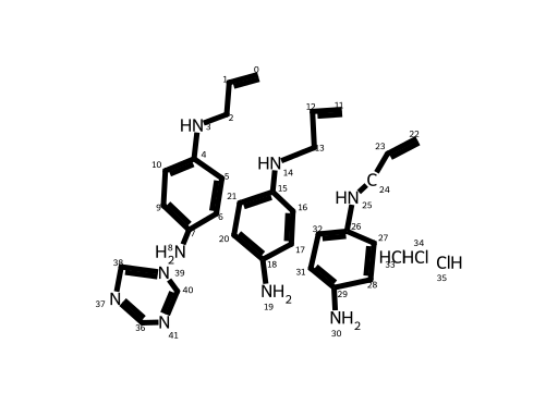 C=CCNc1ccc(N)cc1.C=CCNc1ccc(N)cc1.C=CCNc1ccc(N)cc1.Cl.Cl.Cl.c1ncncn1